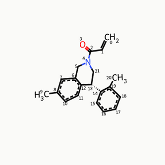 C=CC(=O)N1Cc2cc(C)ccc2[C@@H](c2ccccc2C)C1